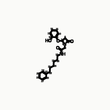 O=C(CN1C(=O)CC1Oc1ccccc1O)NCCCCCCc1ccccc1